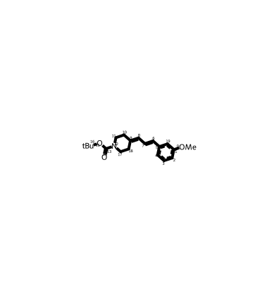 COc1cccc(/C=C/C=C2CCN(C(=O)OC(C)(C)C)CC2)c1